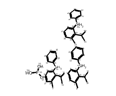 Cc1cccc([SiH2]c2ccccc2)c1C(C)C.Cc1cccc([SiH2]c2ccccc2)c1C(C)C.Cc1cccc([SiH2]c2ccccc2)c1C(C)C.OP(O)O